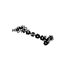 CCC(C(C)OP(=O)(O)O)n1ncn(-c2ccc(N3CCN(c4ccc(-c5ccc(C(F)(F)C(O)(Cn6cnnn6)c6ccccc6F)nc5)cc4)CC3)cn2)c1=O